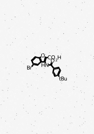 CC(C)(C)c1ccc(C(=O)Nc2c(C(=O)O)oc3ccc(Br)cc23)cc1